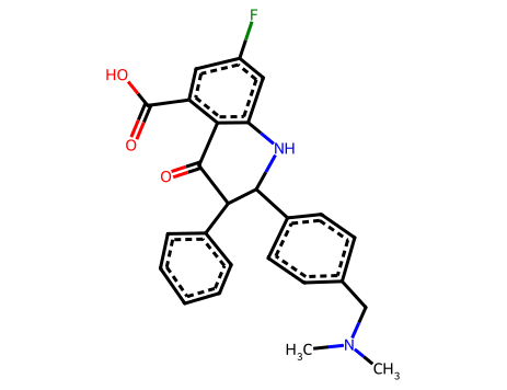 CN(C)Cc1ccc(C2Nc3cc(F)cc(C(=O)O)c3C(=O)C2c2ccccc2)cc1